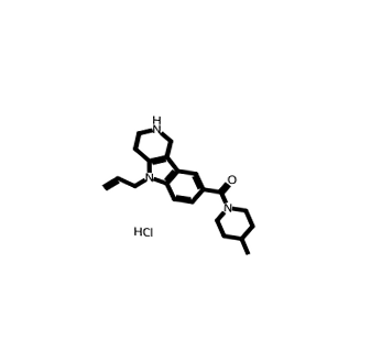 C=CCn1c2c(c3cc(C(=O)N4CCC(C)CC4)ccc31)CNCC2.Cl